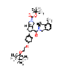 Cc1cccc(CN(C(=O)C2C(c3ccc(OCCO[Si](C)(C)C(C)(C)C)cc3)C[C@H]3CN(C(=O)OC(C)(C)C)CC23)C2CC2)c1C